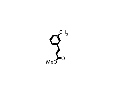 COC(=O)C=Cc1cccc(C)c1